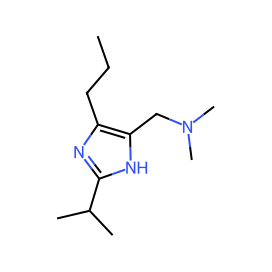 CCCc1nc(C(C)C)[nH]c1CN(C)C